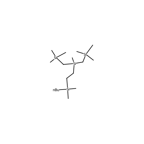 [CH2]CCC[Si](C)(C)CC[Si](C)(C[Si](C)(C)C)C[Si](C)(C)C